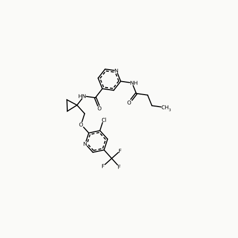 CCCC(=O)Nc1cc(C(=O)NC2(COc3ncc(C(F)(F)F)cc3Cl)CC2)ccn1